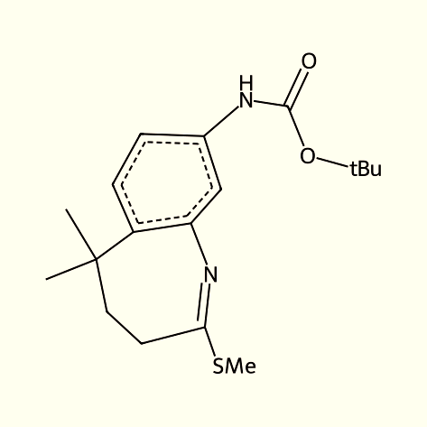 CSC1=Nc2cc(NC(=O)OC(C)(C)C)ccc2C(C)(C)CC1